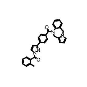 Cc1ccccc1C(=O)n1ccc(-c2ccc(C(=O)N3Cc4cccn4Cc4ccccc43)cc2)n1